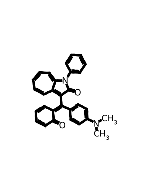 CN(C)c1ccc(C(=C2C=CC=[C]C2=O)c2c3cccccc-3n(-c3ccccc3)c2=O)cc1